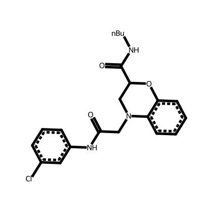 CCCCNC(=O)C1CN(CC(=O)Nc2cccc(Cl)c2)c2ccccc2O1